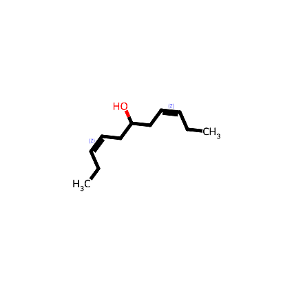 CC/C=C\CC(O)C/C=C\CC